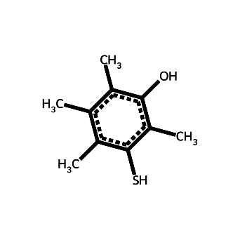 Cc1c(C)c(O)c(C)c(S)c1C